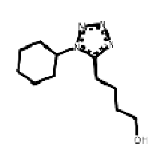 OCCCCc1nnnn1C1CCCCC1